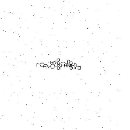 O=C(NS(=O)(=O)c1ccc(Cl)s1)c1ccc(-n2c(=O)[nH]c3cc(NCc4ccc(F)cc4)ccc3c2=O)c(F)c1